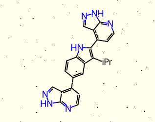 CC(C)c1c(-c2ccnc3[nH]ncc23)[nH]c2ccc(-c3ccnc4[nH]ncc34)cc12